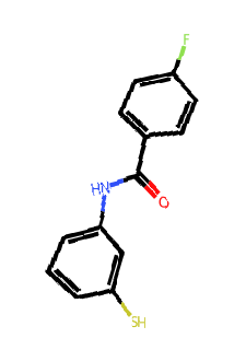 O=C(Nc1cccc(S)c1)c1ccc(F)cc1